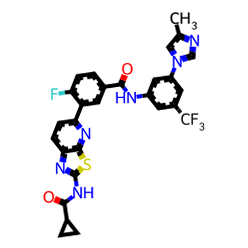 Cc1cn(-c2cc(NC(=O)c3ccc(F)c(-c4ccc5nc(NC(=O)C6CC6)sc5n4)c3)cc(C(F)(F)F)c2)cn1